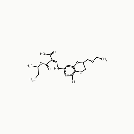 CCOCC1COc2c(Cl)cc(NC=C(C(=O)O)C(=O)OC(C)CC)cc2O1